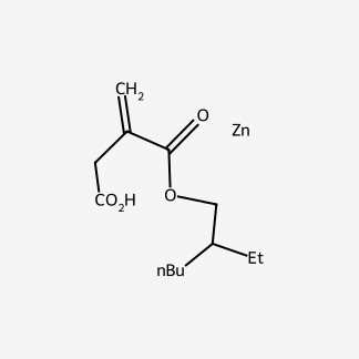 C=C(CC(=O)O)C(=O)OCC(CC)CCCC.[Zn]